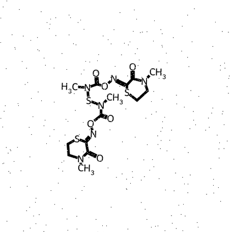 CN1CCSC(=NOC(=O)N(C)SN(C)C(=O)ON=C2SCCN(C)C2=O)C1=O